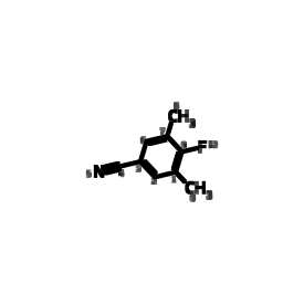 Cc1cc(C#N)cc(C)c1F